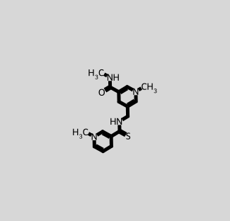 CNC(=O)C1=CN(C)C=C(CNC(=S)C2=CN(C)C=CC2)C1